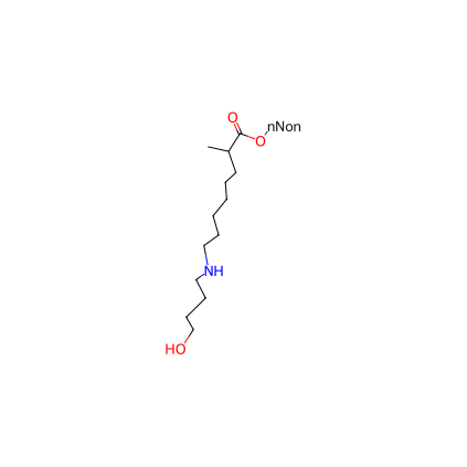 CCCCCCCCCOC(=O)C(C)CCCCCCNCCCCO